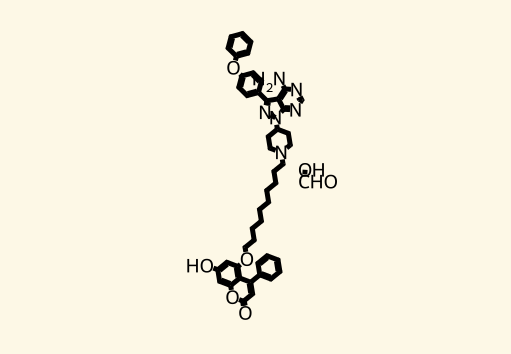 Nc1ncnc2c1c(-c1ccc(Oc3ccccc3)cc1)nn2C1CCN(CCCCCCCCCCOc2cc(O)cc3oc(=O)cc(-c4ccccc4)c23)CC1.O=CO